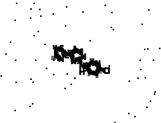 Clc1ccc(Nc2nccc(-c3nccs3)n2)cn1